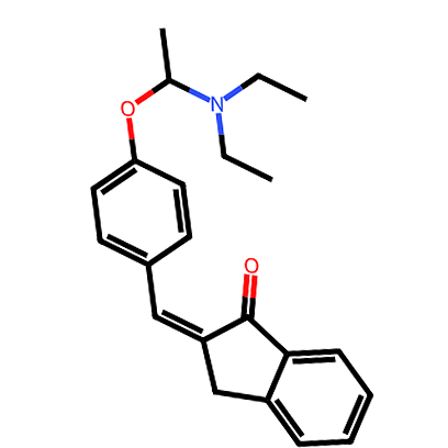 CCN(CC)C(C)Oc1ccc(C=C2Cc3ccccc3C2=O)cc1